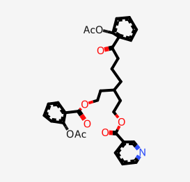 CC(=O)Oc1ccccc1C(=O)CCCC(CCOC(=O)c1cccnc1)CCOC(=O)c1ccccc1OC(C)=O